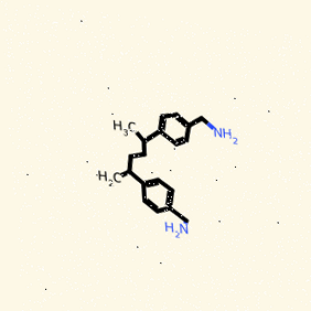 [CH2]C(CCC(C)c1ccc(CN)cc1)c1ccc(CN)cc1